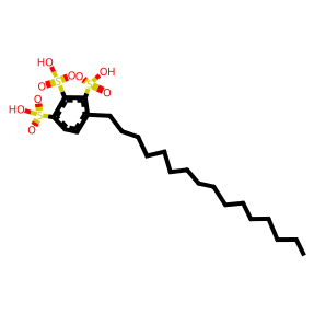 CCCCCCCCCCCCCCCCc1ccc(S(=O)(=O)O)c(S(=O)(=O)O)c1S(=O)(=O)O